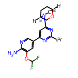 CC(C)c1nc(-c2cnc(N)c(OC(F)F)c2)cc(N2C[C@@H]3CC[C@H]2CO3)n1